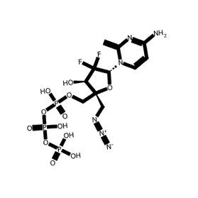 C=C1N=C(N)C=CN1[C@@H]1O[C@](CN=[N+]=[N-])(COP(=O)(O)OP(=O)(O)OP(=O)(O)O)[C@@H](O)C1(F)F